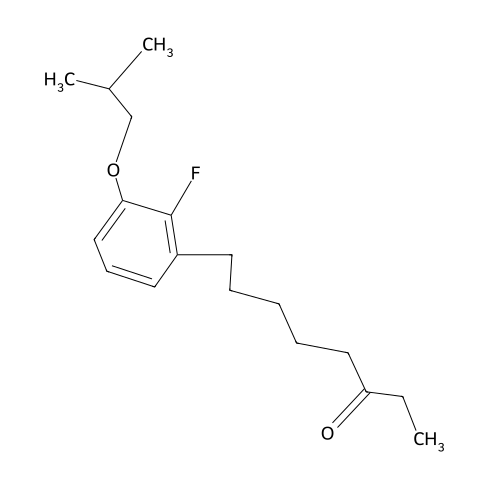 CCC(=O)CCCCCc1cccc(OCC(C)C)c1F